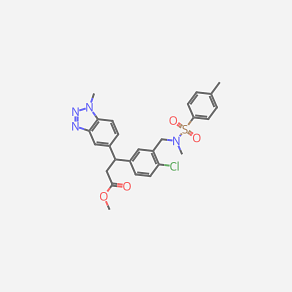 COC(=O)CC(c1ccc(Cl)c(CN(C)S(=O)(=O)c2ccc(C)cc2)c1)c1ccc2c(c1)nnn2C